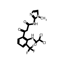 Cn1ccnc1NC(=O)CC(=O)c1cccc(C(F)(F)F)c1NC(=O)C(Cl)Cl